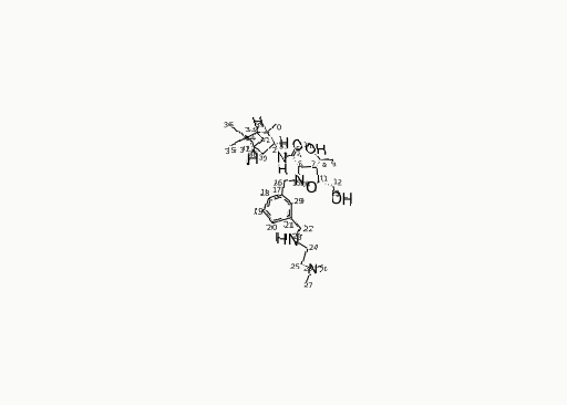 CC1[C@@H](NC(=O)[C@@H]2[C@H]([C@H](C)O)[C@H](CO)ON2Cc2cccc(CNCCN(C)C)c2)C[C@H]2C[C@@H]1C2(C)C